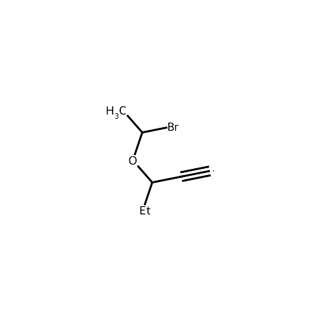 [C]#CC(CC)OC(C)Br